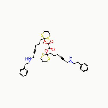 O=C(OC1(CCCC#CCNCCc2ccccc2)SCCCS1)C(=O)OC1(CCCC#CCNCCc2ccccc2)SCCCS1